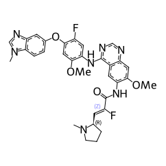 COc1cc2ncnc(Nc3cc(F)c(Oc4ccc5c(c4)ncn5C)cc3OC)c2cc1NC(=O)/C(F)=C/[C@H]1CCCN1C